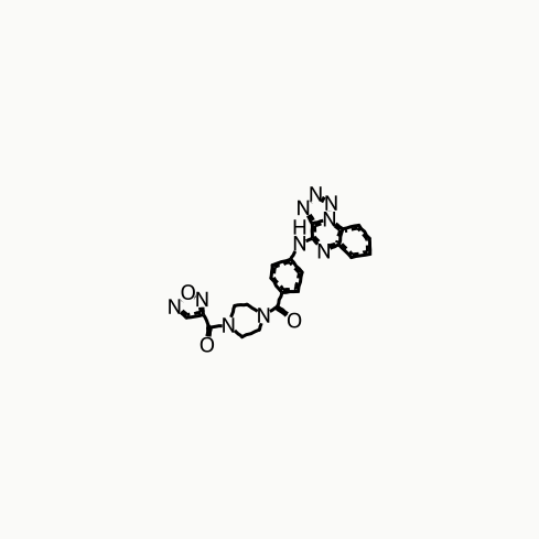 O=C(c1ccc(Nc2nc3ccccc3n3nnnc23)cc1)N1CCN(C(=O)c2cnon2)CC1